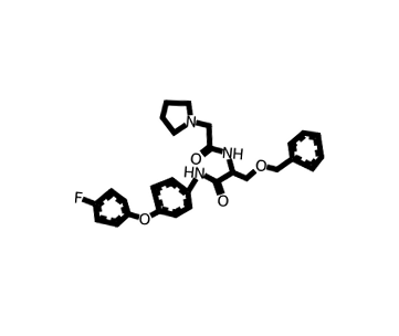 O=C(CN1CCCC1)NC(COCc1ccccc1)C(=O)Nc1ccc(Oc2ccc(F)cc2)cc1